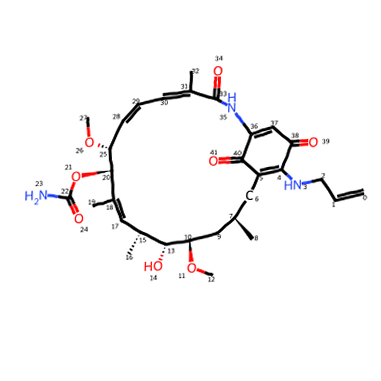 C=CCNC1=C2C[C@@H](C)C[C@@H](OC)[C@H](O)[C@H](C)C=C(C)[C@@H](OC(N)=O)[C@H](OC)C=CC=C(C)C(=O)NC(=CC1=O)C2=O